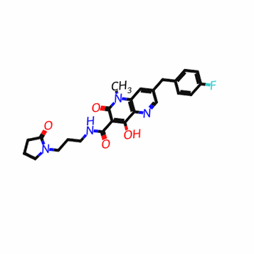 Cn1c(=O)c(C(=O)NCCCN2CCCC2=O)c(O)c2ncc(Cc3ccc(F)cc3)cc21